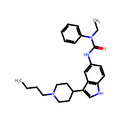 CCCCN1CCC(c2c[nH]c3ccc(NC(=O)N(CC)c4ccccc4)cc23)CC1